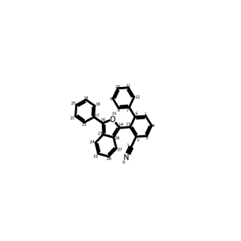 N#Cc1cccc(-c2ccccc2)c1-c1oc(-c2ccccc2)c2ccccc12